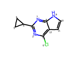 Clc1nc(C2CC2)nc2[nH]ccc12